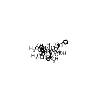 COC(=O)C1=C[C@H](N/C(=N/C(=O)OC(C)(C)C)NC(=O)OC(C)(C)C)[C@@H](C)[C@H]([C@H](OCC(=O)OCc2ccccc2)[C@H](O)CO)O1